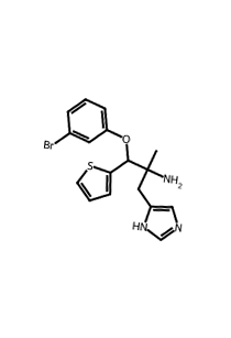 CC(N)(Cc1cnc[nH]1)C(Oc1cccc(Br)c1)c1cccs1